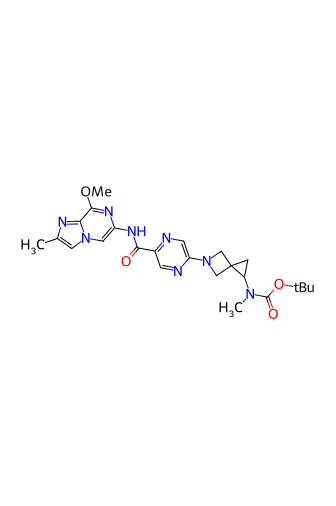 COc1nc(NC(=O)c2cnc(N3CC4(CC4N(C)C(=O)OC(C)(C)C)C3)cn2)cn2cc(C)nc12